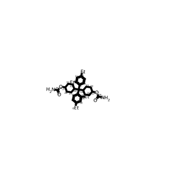 CCc1ccc(C(c2ccc(CC)cc2CC)(C2CCC(OC(N)=O)CC2)C2CCC(OC(N)=O)CC2)c(CC)c1